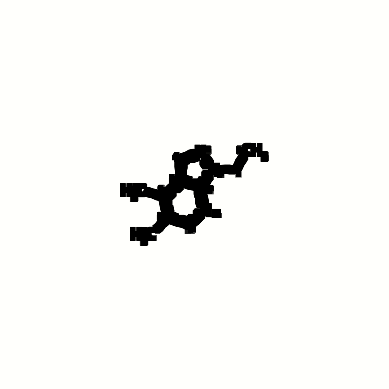 CCn1ncc2c(C)c(C)cnc21